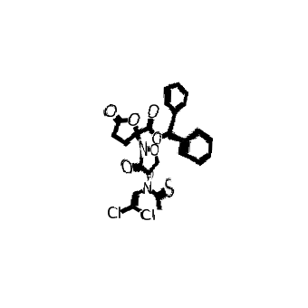 CC(=S)N(C=C(Cl)Cl)[C@H]1CON(C2(C(=O)OC(c3ccccc3)c3ccccc3)CCC(=O)O2)C1=O